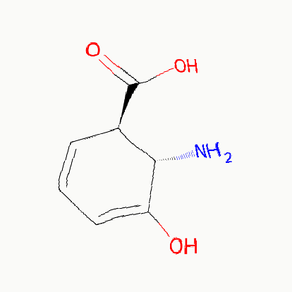 N[C@@H]1C(O)=CC=C[C@H]1C(=O)O